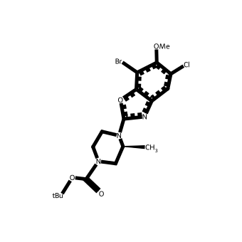 COc1c(Cl)cc2nc(N3CCN(C(=O)OC(C)(C)C)C[C@@H]3C)oc2c1Br